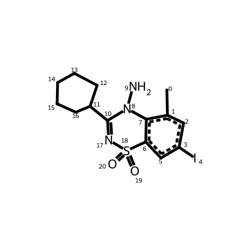 Cc1cc(I)cc2c1N(N)C(C1CCCCC1)=NS2(=O)=O